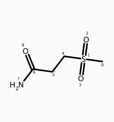 CS(=O)(=O)C[CH]C(N)=O